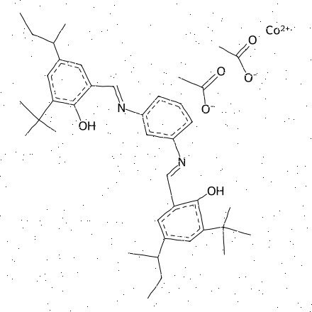 CC(=O)[O-].CC(=O)[O-].CCC(C)c1cc(C=Nc2cccc(N=Cc3cc(C(C)CC)cc(C(C)(C)C)c3O)c2)c(O)c(C(C)(C)C)c1.[Co+2]